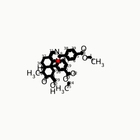 CCOC(=O)c1ccc(-c2ncc3c(n2)C2(c4cccc(C(=O)OCC)c4)CC(=CO)C(=O)[C@@H](C)[C@@H]2CC3)cc1